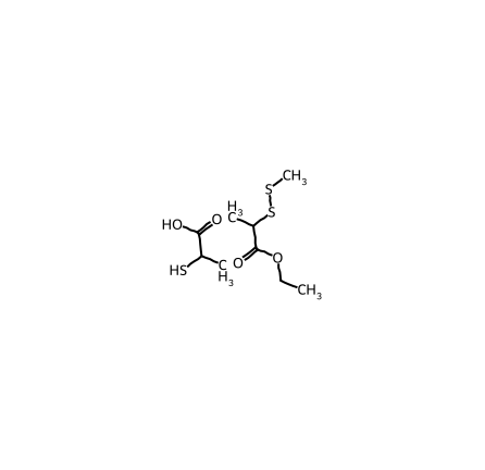 CC(S)C(=O)O.CCOC(=O)C(C)SSC